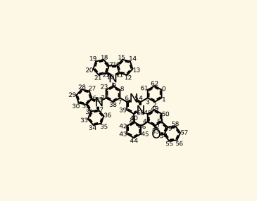 c1ccc(-c2nc(-c3cc(-n4c5ccccc5c5ccccc54)cc(-n4c5ccccc5c5ccccc54)c3)cc(-c3ccccc3-c3cccc4c3oc3ccccc34)n2)cc1